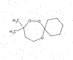 CC1(C)CCOC2(CCCCC2)OO1